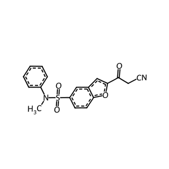 CN(c1ccccc1)S(=O)(=O)c1ccc2oc(C(=O)CC#N)cc2c1